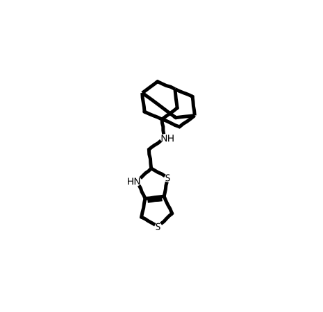 C1SCC2=C1NC(CNC13CC4CC(CC(C4)C1)C3)S2